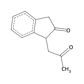 CC(=O)CC1C(=O)Cc2ccccc21